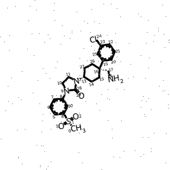 CS(=O)(=O)c1cccc(N2CCN([C@H]3CC[C@](CN)(c4cccc(Cl)c4)CC3)C2=O)c1